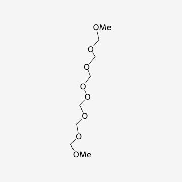 COCOCOCOOCOCOCOC